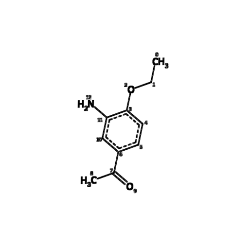 CCOc1ccc(C(C)=O)cc1N